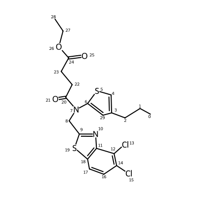 CCCc1csc(N(Cc2nc3c(Cl)c(Cl)ccc3s2)C(=O)CCC(=O)OCC)c1